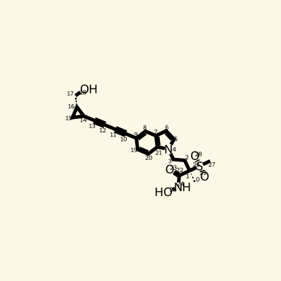 C[C@@](CCn1ccc2cc(C#CC#CC3C[C@@H]3CO)ccc21)(C(=O)NO)S(C)(=O)=O